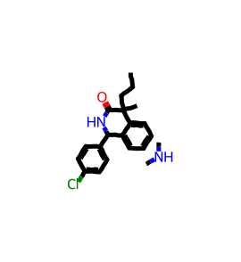 CCCC1(C)C(=O)NC(c2ccc(Cl)cc2)c2ccccc21.CNC